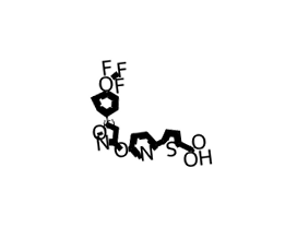 O=C(O)c1ccc(-c2ccc(OC3=NO[C@H](c4ccc(OC(F)(F)F)cc4)C3)cn2)s1